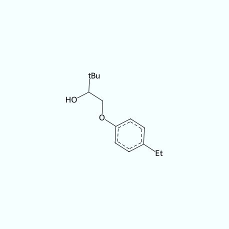 CCc1ccc(OCC(O)C(C)(C)C)cc1